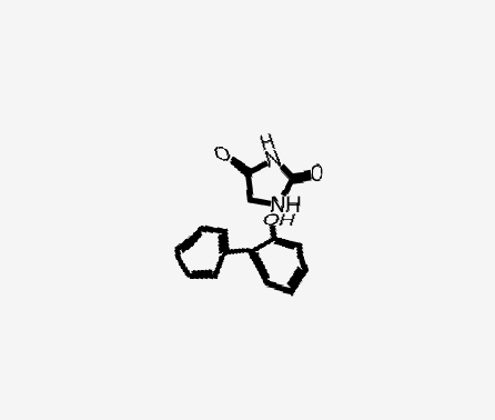 O=C1CNC(=O)N1.Oc1ccccc1-c1ccccc1